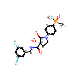 CP(C)(=O)c1ccc(N2CC[C@@](O)(C(=O)NCc3cc(F)cc(F)c3)C2=O)cc1